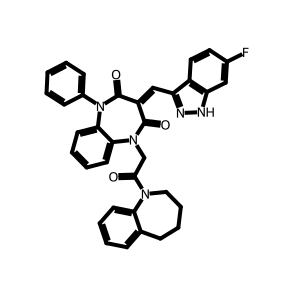 O=C(CN1C(=O)C(=Cc2n[nH]c3cc(F)ccc23)C(=O)N(c2ccccc2)c2ccccc21)N1CCCCc2ccccc21